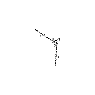 CCCCCCCC(=O)OCCCCCCCC(=O)Oc1cc(CN(C)C)cc(OC(=O)CCCCCCCOC(=O)CCCCCCC)c1